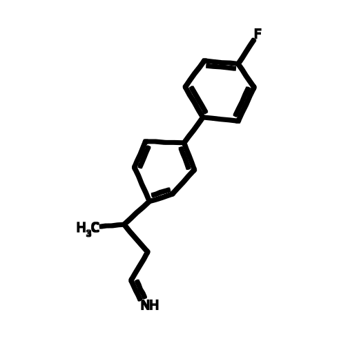 CC(CC=N)c1ccc(-c2ccc(F)cc2)cc1